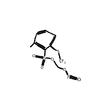 Cc1cccc(SC(F)(F)F)c1S(=O)(=O)OCOP=O